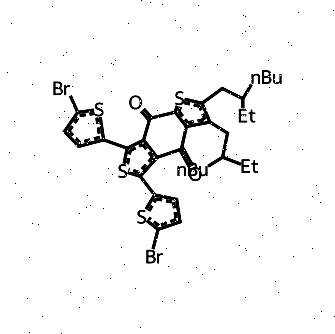 CCCCC(CC)Cc1sc2c(c1CC(CC)CCCC)C(=O)c1c(-c3ccc(Br)s3)sc(-c3ccc(Br)s3)c1C2=O